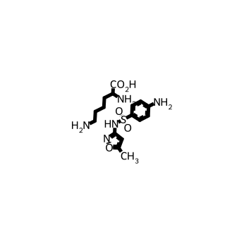 Cc1cc(NS(=O)(=O)c2ccc(N)cc2)no1.NCCCCC(N)C(=O)O